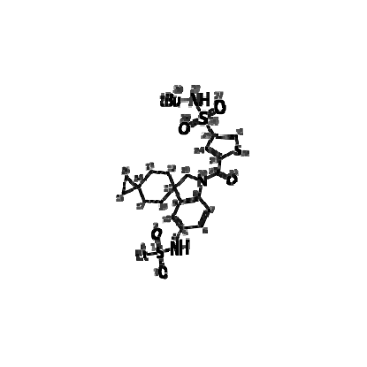 CCS(=O)(=O)Nc1ccc2c(c1)C1(CCC3(CC3)CC1)CN2C(=O)c1cc(S(=O)(=O)NC(C)(C)C)cs1